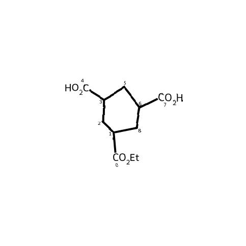 CCOC(=O)C1CC(C(=O)O)CC(C(=O)O)C1